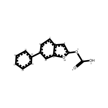 O=C(O)Oc1cc2ccc(-c3ccccc3)cc2o1